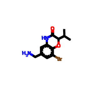 CC(C)C1Oc2c(Br)cc(CN)cc2NC1=O